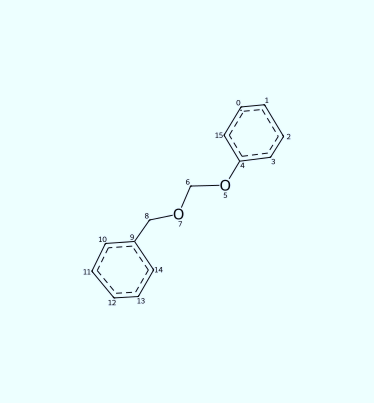 [c]1cccc(OCOCc2ccccc2)c1